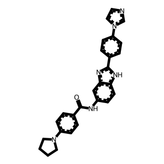 O=C(Nc1ccc2[nH]c(-c3ccc(-n4ccnc4)cc3)nc2c1)c1ccc(N2CCCC2)cc1